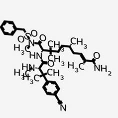 CN[C@H](C(=O)N[C@H](C(=O)N(C)S(=O)(=O)Cc1ccccc1)C(C)(C)CC[C@H](C)C/C=C(\C)C(N)=O)C(C)(C)c1ccc(C#N)cc1